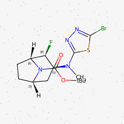 CN(c1nnc(Br)s1)[C@H]1C[C@@H]2CC[C@H]([C@H]1F)N2C(=O)OC(C)(C)C